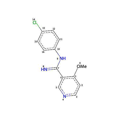 COc1ccncc1C(=N)Nc1ccc(Cl)cc1